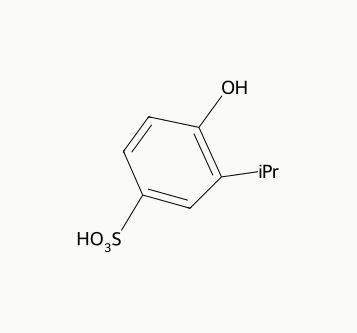 CC(C)c1cc(S(=O)(=O)O)ccc1O